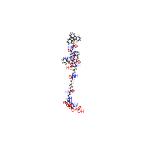 O=C(O)CCC(NC(=O)N[C@@H](CCCCNC(=O)CCCCCCC(=O)NCCCCC(NCC(=O)C(Cc1ccccc1)NC(=O)C(Cc1ccccc1)NC(=O)CNC(=O)CNC(=O)CSC(c1ccccc1)(c1ccccc1)c1ccccc1)C(=O)O)C(=O)O)C(=O)O